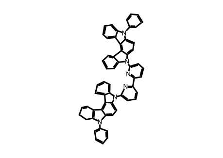 C1=Cc2c(n(-c3ccccc3)c3ccc4c(c5ccccc5n4-c4cccc(-c5cccc(-n6c7ccccc7c7c8c9ccccc9n(-c9ccccc9)c8ccc76)n5)n4)c23)CC1